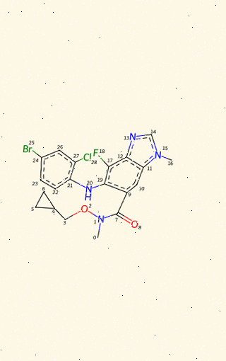 CN(OCC1CC1)C(=O)c1cc2c(ncn2C)c(F)c1Nc1ccc(Br)cc1Cl